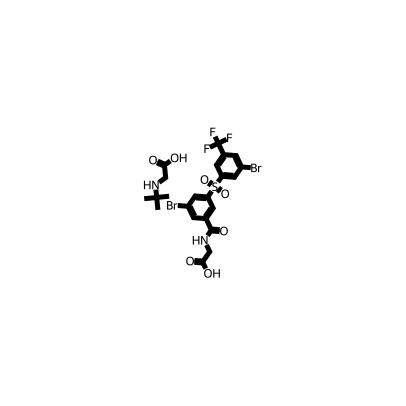 CC(C)(C)NCC(=O)O.O=C(O)CNC(=O)c1cc(Br)cc(S(=O)(=O)c2cc(Br)cc(C(F)(F)F)c2)c1